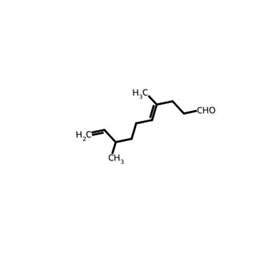 C=CC(C)CCC=C(C)CCC=O